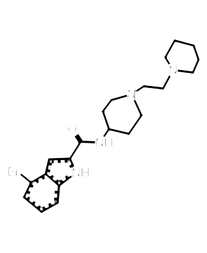 O=C(NC1CCN(CCN2CCCCC2)CC1)c1cc2c(Br)cccc2[nH]1